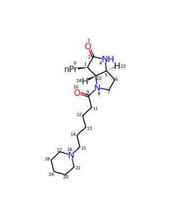 CCC[C@H]1C(=O)N[C@H]2CCN(C(=O)CCCCCN3CCCCC3)[C@@H]21